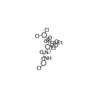 CCOP(=O)(CN(c1ccc2c(c1)CCN2C(=O)c1cc2cc(Cl)ccc2[nH]1)S(=O)(=O)c1cc(Cl)cc(Cl)c1)OCC